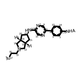 CC(=O)Nc1ccc(-c2cnc(N[C@H]3C[C@@H]4CN(CCC(C)(C)C)C[C@@H]4C3)cn2)cc1